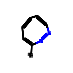 [2H]C1=CC=CC=CN=N1